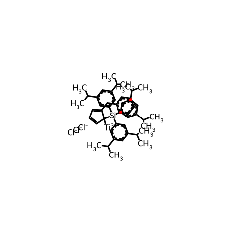 CC(C)c1cc(C(C)C)cc([Si](c2cc(C(C)C)cc(C(C)C)c2)(c2cc(C(C)C)cc(C(C)C)c2)[C]2([Ti+3])C=CC=C2Cc2ccccc2)c1.[Cl-].[Cl-].[Cl-]